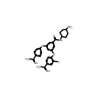 N=C(N)c1ccc(Oc2cc(Oc3ccc(C(=N)N)cc3Cl)cc(C(=O)NC3CCC(N)CC3)c2)cc1